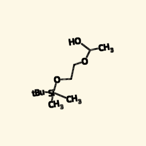 CC(O)OCCO[Si](C)(C)C(C)(C)C